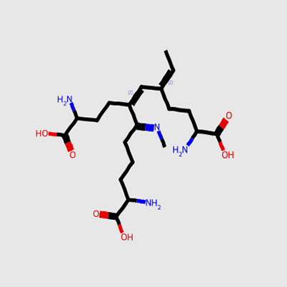 C/C=C(\C=C(\CCC(N)C(=O)O)C(CCCC(N)C(=O)O)=NC)CCC(N)C(=O)O